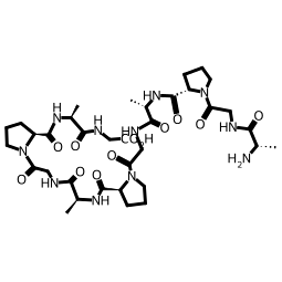 C[C@H](N)C(=O)NCC(=O)N1CCC[C@H]1C(=O)N[C@@H](C)C(=O)NCC(=O)N1CCC[C@H]1C(=O)N[C@@H](C)C(=O)NCC(=O)N1CCC[C@H]1C(=O)N[C@@H](C)C(=O)NCC(=O)O